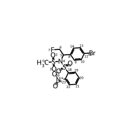 CS(=O)(=O)N(C(CF)c1ccc(Br)cc1)S(=O)(=O)c1ccccc1[N+](=O)[O-]